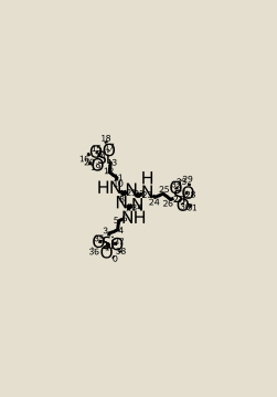 CO[Si](CCCNc1nc(NCCC[Si](OC)(OC)OC)nc(NCCC[Si](OC)(OC)OC)n1)(OC)OC